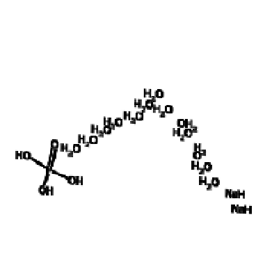 O.O.O.O.O.O.O.O.O.O.O.O.O.O=P(O)(O)O.[NaH].[NaH]